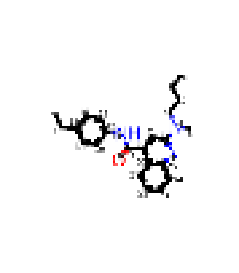 CCCCN(C)c1cc(C(=O)Nc2ccc(CC)cc2)c2ccccc2n1